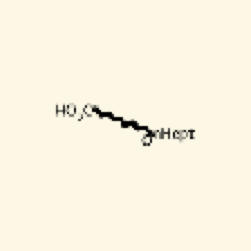 CCCCCCCC(=O)CCCCCCCCCC(=O)O